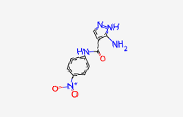 Nc1[nH]ncc1C(=O)Nc1ccc([N+](=O)[O-])cc1